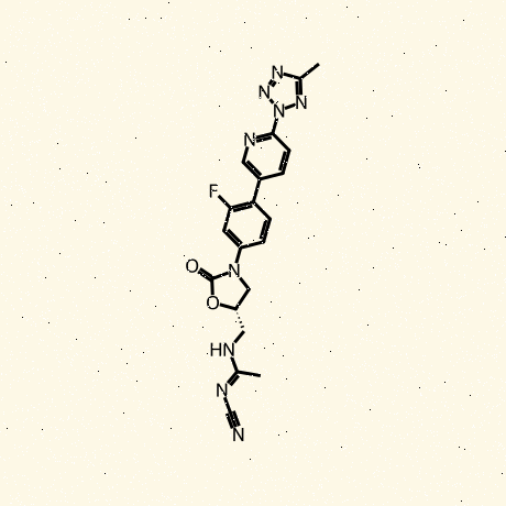 C/C(=N\C#N)NC[C@H]1CN(c2ccc(-c3ccc(-n4nnc(C)n4)nc3)c(F)c2)C(=O)O1